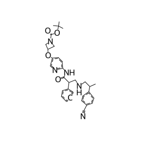 CC(CNCC(C(=O)Nc1ccc(OC2CN(C(=O)OC(C)(C)C)C2)cn1)c1ccccc1)c1ccc(C#N)cc1